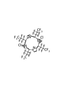 FC(F)(F)C(F)(F)C(F)(F)c1c2nc(c(C(F)(F)C(F)(F)C(F)(F)F)c3cc(Cl)c([nH]3)c(C(F)(F)C(F)(F)C(F)(F)F)c3nc(c(C(F)(F)C(F)(F)C(F)(F)F)c4[nH]c1cc4Cl)C=C3)C=C2